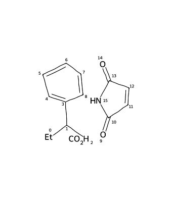 CCC(C(=O)O)c1ccccc1.O=C1C=CC(=O)N1